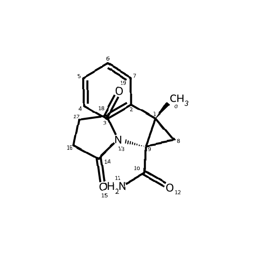 C[C@@]1(c2ccccc2)C[C@]1(C(N)=O)N1C(=O)CCC1=O